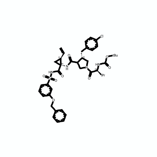 C=C[C@@H]1C[C@]1(NC(=O)C1CN(C(=O)[C@@H](NC(=O)OC(C)(C)C)C(C)C)C[C@H]1Cc1ccc(Cl)cc1)C(=O)NS(=O)(=O)c1cccc(OCc2ccccc2)c1